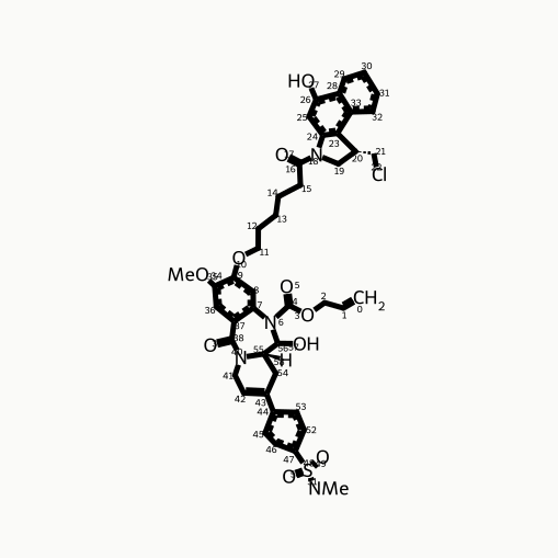 C=CCOC(=O)N1c2cc(OCCCCCC(=O)N3C[C@@H](CCl)c4c3cc(O)c3ccccc43)c(OC)cc2C(=O)N2CC=C(c3ccc(S(=O)(=O)NC)cc3)C[C@H]2C1O